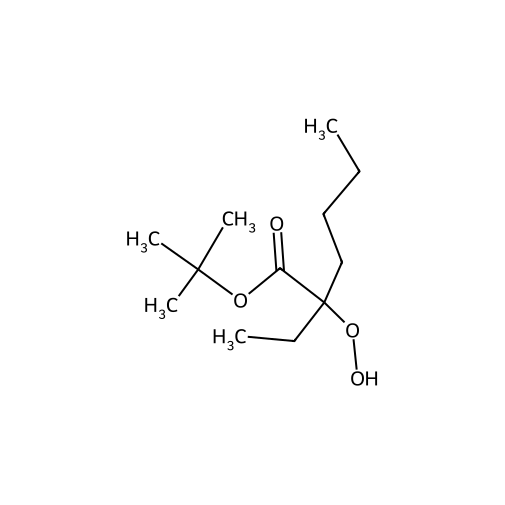 CCCCC(CC)(OO)C(=O)OC(C)(C)C